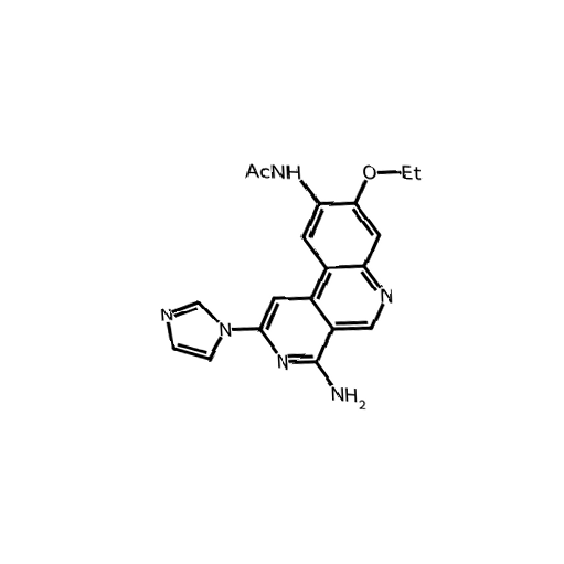 CCOc1cc2ncc3c(N)nc(-n4ccnc4)cc3c2cc1NC(C)=O